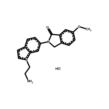 COc1ccc2c(c1)C(=O)N(c1ccc3ccn(CCN)c3c1)C2.Cl